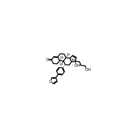 C[C@]12C[C@H](c3ccc(-c4ccoc4)cc3)[C@H]3[C@@H](CCC4=CC(=O)CC[C@@H]43)[C@H]1C=C[C@]2(O)CCCO